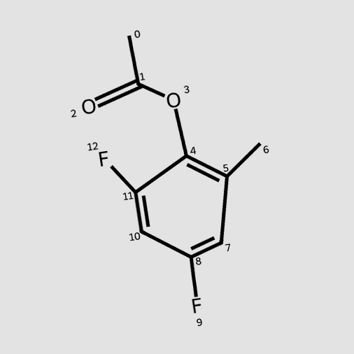 CC(=O)Oc1c(C)cc(F)cc1F